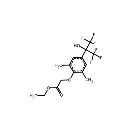 CCOC(=O)COc1c(C)cc(C(O)(C(F)(F)F)C(F)(F)F)cc1C